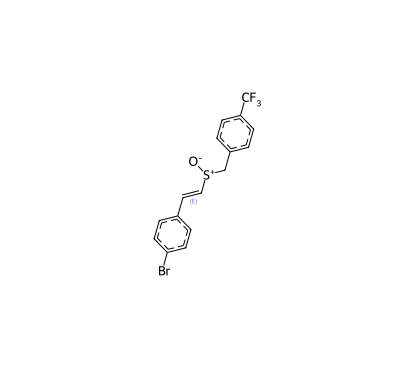 [O-][S+](/C=C/c1ccc(Br)cc1)Cc1ccc(C(F)(F)F)cc1